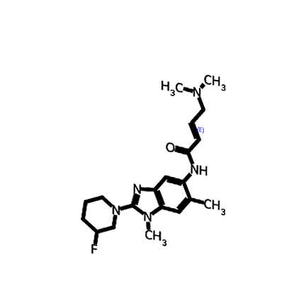 Cc1cc2c(cc1NC(=O)/C=C/CN(C)C)nc(N1CCCC(F)C1)n2C